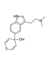 CN(C)CCc1c[nH]c2ccc(C3(O)C=CSC=C3)cc12